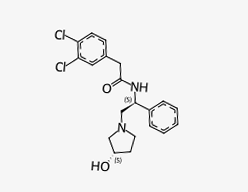 O=C(Cc1ccc(Cl)c(Cl)c1)N[C@H](CN1CC[C@H](O)C1)c1ccccc1